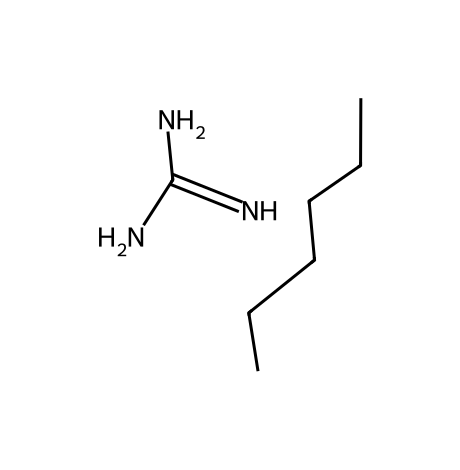 CCCCCC.N=C(N)N